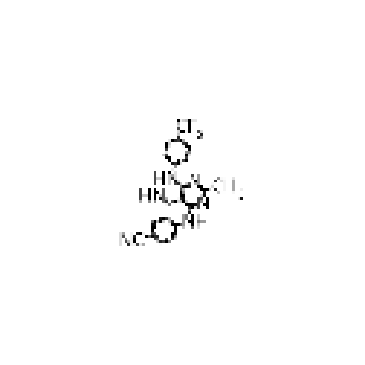 Cc1nc(Nc2ccc(C#N)cc2)c(C=N)c(Nc2ccc(C(F)(F)F)cc2)n1